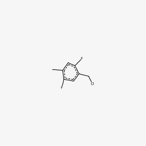 Cc1cc(F)c(CCl)cc1F